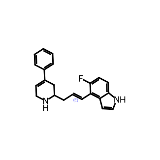 Fc1ccc2[nH]ccc2c1/C=C/CC1CC(c2ccccc2)=CCN1